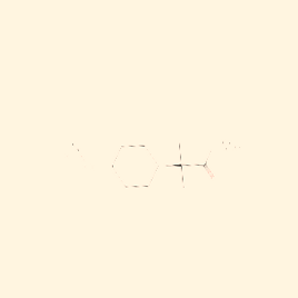 COC(=O)C(C)(C)[C@H]1CC[C@H](O[N+](=O)[O-])CC1